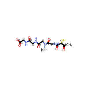 CC(=O)C(S)C(=O)NCC(=O)NCC(=O)NCC(=O)NCC(=O)[O-].[Na+]